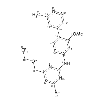 COc1cc(Nc2nc(COCC(F)(F)F)cc(C(C)=O)n2)ccc1-c1cnnc(C)c1